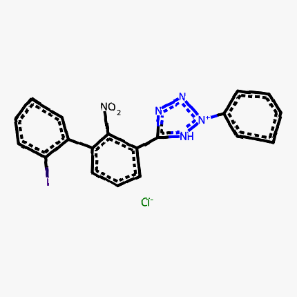 O=[N+]([O-])c1c(-c2nn[n+](-c3ccccc3)[nH]2)cccc1-c1ccccc1I.[Cl-]